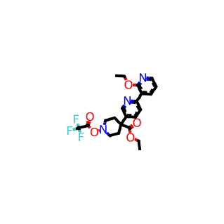 CCOC(=O)C1(c2ccc(-c3cccnc3OCC)nc2)CCN(OC(=O)C(F)(F)F)CC1